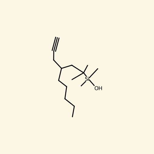 C#CCC(CCCCC)CC(C)(C)[Si](C)(C)O